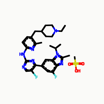 CCN1CCC(Cc2ccc(Nc3ncc(F)c(-c4cc(F)c5nc(C)n(C(C)C)c5c4)n3)nc2C)CC1.CS(=O)(=O)O